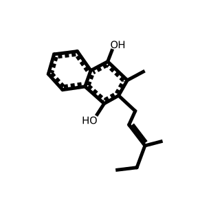 CC/C(C)=C/Cc1c(C)c(O)c2ccccc2c1O